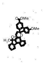 COC(=O)c1ccc(C2(c3ccc(OC)cc3)C=Cc3c4c(c5ccccc5c3O2)-c2ccccc2C4(C)C)cc1